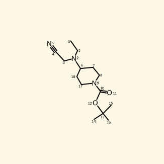 CCN(CC#N)C1CCN(C(=O)OC(C)(C)C)CC1